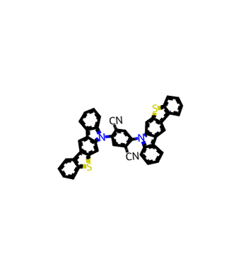 N#Cc1cc(-n2c3ccccc3c3cc4c(cc32)sc2ccccc24)c(C#N)cc1-n1c2ccccc2c2cc3c(cc21)sc1ccccc13